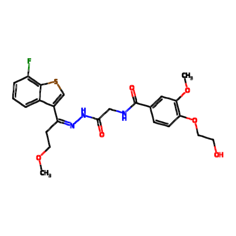 COCC/C(=N/NC(=O)CNC(=O)c1ccc(OCCO)c(OC)c1)c1csc2c(F)cccc12